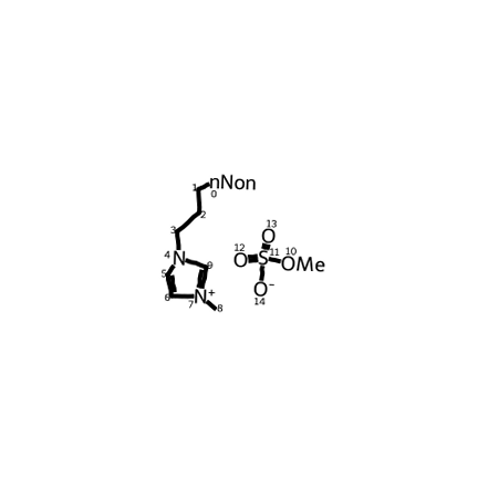 CCCCCCCCCCCCn1cc[n+](C)c1.COS(=O)(=O)[O-]